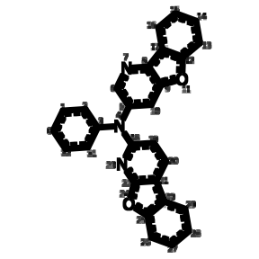 c1ccc(N(c2cnc3c(c2)oc2ccccc23)c2ccc3c(n2)oc2ccccc23)cc1